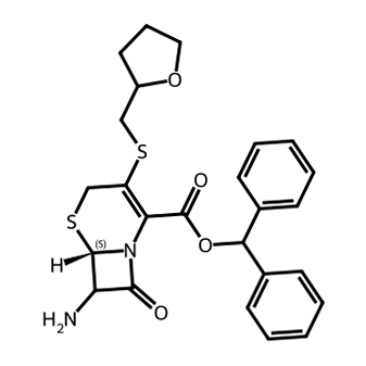 NC1C(=O)N2C(C(=O)OC(c3ccccc3)c3ccccc3)=C(SCC3CCCO3)CS[C@@H]12